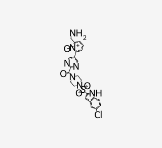 NCc1cccc(-c2cnc(C(=O)N3CCN(S(=O)(=O)c4cc5cc(Cl)ccc5[nH]4)CC3)nc2)[n+]1[O-]